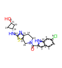 O=C(c1cc2ccc(Cl)cc2[nH]1)N1CCc2nc(N[C@H]3C[C@H](O)C3)sc2C1